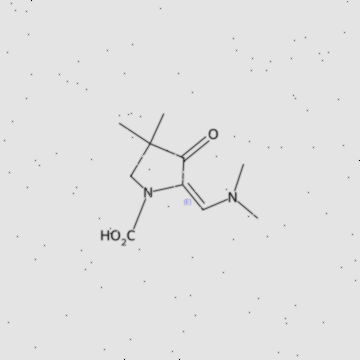 CN(C)/C=C1\C(=O)C(C)(C)CN1C(=O)O